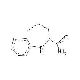 NC(=O)C1CCCc2ccccc2N1